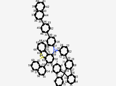 c1ccc(C2(c3ccccc3)c3ccccc3-c3ccc(-c4cccc(N(c5ccc(-c6ccc(-c7ccc8ccccc8c7)cc6)cc5)c5ccc(-c6cccc7ccccc67)c6sc7ccccc7c56)c4)cc32)cc1